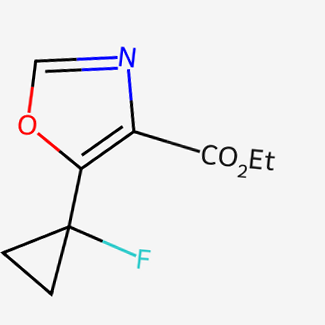 CCOC(=O)c1ncoc1C1(F)CC1